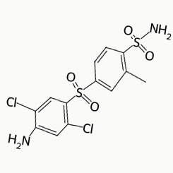 Cc1cc(S(=O)(=O)c2cc(Cl)c(N)cc2Cl)ccc1S(N)(=O)=O